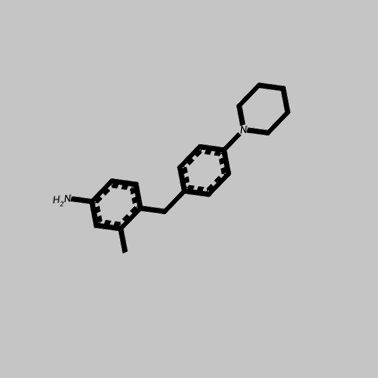 Cc1cc(N)ccc1Cc1ccc(N2CCCCC2)cc1